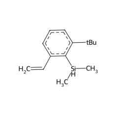 C=Cc1cccc(C(C)(C)C)c1[SiH](C)C